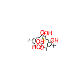 CC(C)c1cc(CCCC(CCCc2cc(C(C)C)cc(C(C)(C)C)c2O)(CSCCC(=O)O)C(=O)O)c(O)c(C(C)(C)C)c1